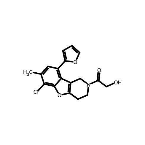 Cc1cc(-c2ccco2)c2c3c(oc2c1Cl)CCN(C(=O)CO)C3